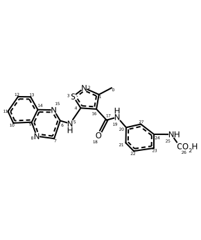 Cc1nsc(Nc2cnc3ccccc3n2)c1C(=O)Nc1cccc(NC(=O)O)c1